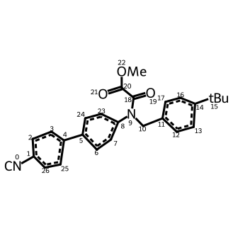 [C-]#[N+]c1ccc(-c2ccc(N(Cc3ccc(C(C)(C)C)cc3)C(=O)C(=O)OC)cc2)cc1